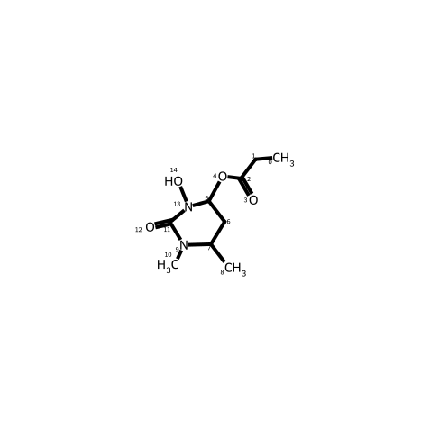 CCC(=O)OC1CC(C)N(C)C(=O)N1O